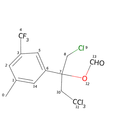 Cc1cc(C(F)(F)F)cc(C(CCl)(CC(Cl)(Cl)Cl)OC=O)c1